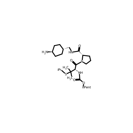 CCCCCOC(=O)N[C@@H](C(=O)N1CCC[C@H]1C(=O)NC[C@H]1CC[C@H](N)CC1)C(C)(C)SC(C)C